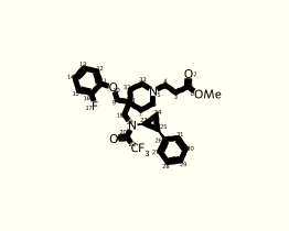 COC(=O)CCN1CCC(COc2ccccc2F)(CN(C(=O)C(F)(F)F)[C@@H]2C[C@H]2c2ccccc2)CC1